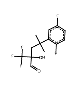 CC(C)(CC(O)(C=O)C(F)(F)F)c1cc(F)ccc1F